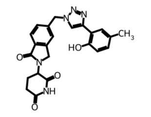 Cc1ccc(O)c(-c2cn(Cc3ccc4c(c3)CN(C3CCC(=O)NC3=O)C4=O)nn2)c1